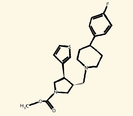 COC(=O)N1C[C@@H](CN2CCC(c3ccc(F)cc3)CC2)[C@H](c2ccsc2)C1